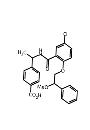 COC(COc1ccc(Cl)cc1C(=O)NC(C)c1ccc(C(=O)O)cc1)c1ccccc1